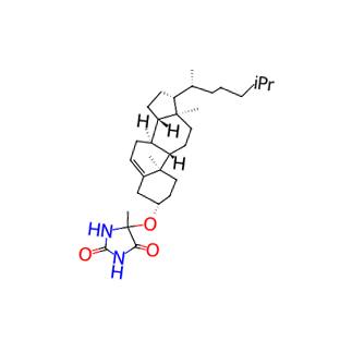 CC(C)CCC[C@@H](C)[C@H]1CC[C@H]2[C@@H]3CC=C4C[C@@H](OC5(C)NC(=O)NC5=O)CC[C@]4(C)[C@H]3CC[C@]12C